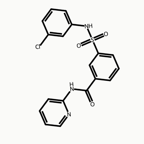 O=C(Nc1ccccn1)c1cccc(S(=O)(=O)Nc2cccc(Cl)c2)c1